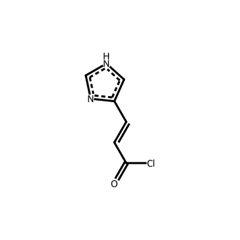 O=C(Cl)/C=C/c1c[nH]cn1